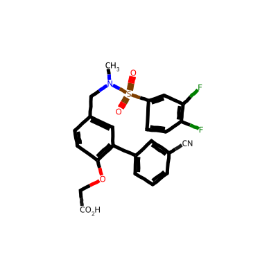 CN(Cc1ccc(OCC(=O)O)c(-c2cccc(C#N)c2)c1)S(=O)(=O)c1ccc(F)c(F)c1